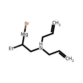 C=CC[SiH](CC=C)C[CH](CC)[Mg][Br]